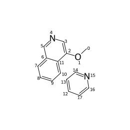 COc1cncc2ccccc12.c1ccncc1